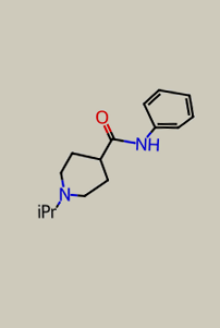 CC(C)N1CCC(C(=O)Nc2ccccc2)CC1